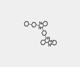 c1ccc(-c2ccc(-c3nc(-c4ccc(-c5nc6c(nc7ccccn76)c6ccccc56)cc4)c4ccccc4n3)cc2)cc1